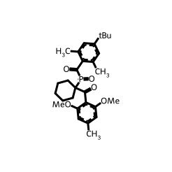 COc1cc(C)cc(OC)c1C(=O)C1([P](=O)C(=O)c2c(C)cc(C(C)(C)C)cc2C)CCCCC1